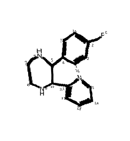 Fc1ccc(C2NCCNC2c2ccccn2)cc1